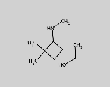 CCO.CNC1CCC1(C)C